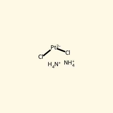 [Cl][Pt-2][Cl].[NH4+].[NH4+]